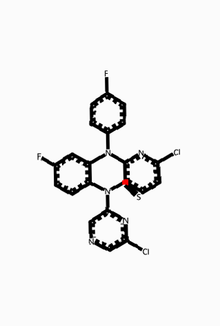 Fc1ccc(N(c2cccc(Cl)n2)c2cc(F)ccc2N([C]=S)c2cncc(Cl)n2)cc1